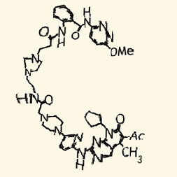 COc1ccc(NC(=O)c2ccccc2NC(=O)CCN2CCN(CCNC(=O)CN3CCN(c4ccc(Nc5ncc6c(C)c(C(C)=O)c(=O)n(C7CCCC7)c6n5)nc4)CC3)CC2)nn1